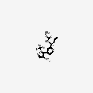 [2H]C([2H])([2H])n1ncc([N+](=O)[O-])c1-c1ccnc([C@H](CC=C)NC(=O)OC(C)(C)C)c1